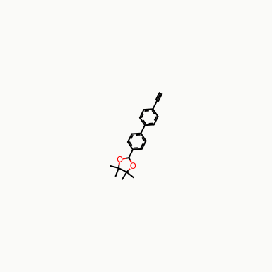 C#Cc1ccc(-c2ccc(C3OC(C)(C)C(C)(C)O3)cc2)cc1